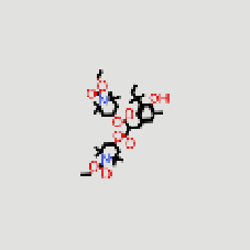 CCOC(=O)N1C(C)(C)CC(OC(=O)C(Cc2cc(C)c(O)c(C(C)(C)CC)c2)C(=O)OC2CC(C)(C)N(C(=O)OCC)C(C)(C)C2)CC1(C)C